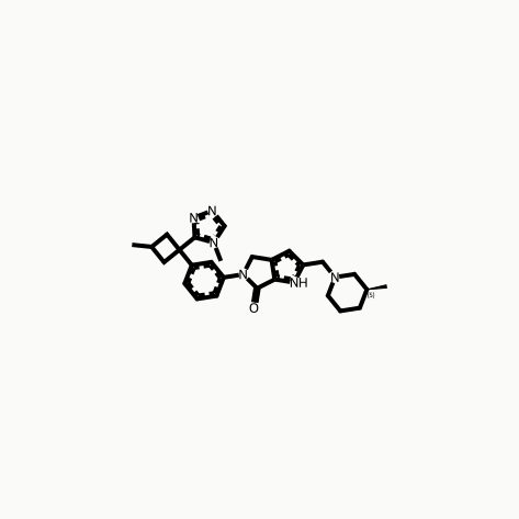 CC1CC(c2cccc(N3Cc4cc(CN5CCC[C@H](C)C5)[nH]c4C3=O)c2)(c2nncn2C)C1